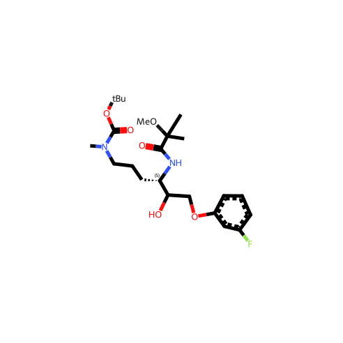 COC(C)(C)C(=O)N[C@@H](CCCN(C)C(=O)OC(C)(C)C)C(O)COc1cccc(F)c1